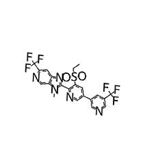 CCS(=O)(=O)c1cc(-c2cncc(C(F)(F)F)c2)cnc1-c1nc2cc(C(F)(F)F)ncc2n1C